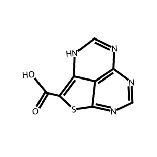 O=C(O)c1sc2ncnc3c2c1NC=N3